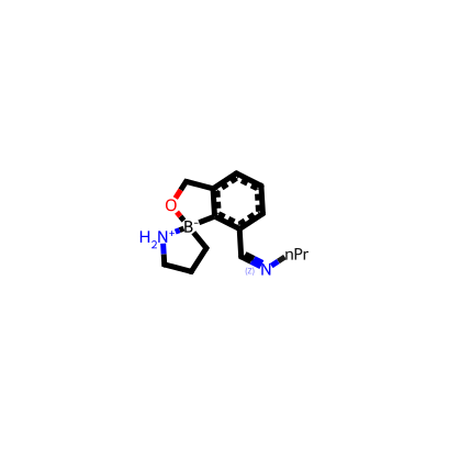 CCC/N=C\c1cccc2c1[B-]1(CCC[NH2+]1)OC2